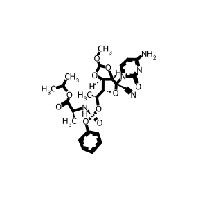 COC1O[C@@H]2[C@@H]([C@@H](C)O[P@@](=O)(N[C@@H](C)C(=O)OC(C)C)Oc3ccccc3)O[C@@](C#N)(n3ccc(N)nc3=O)[C@@H]2O1